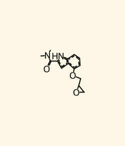 CN(C)C(=O)c1cc2c(OCC3CO3)cccc2[nH]1